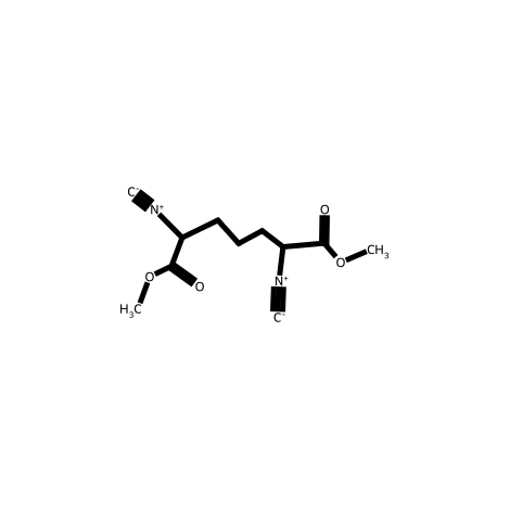 [C-]#[N+]C(CCCC([N+]#[C-])C(=O)OC)C(=O)OC